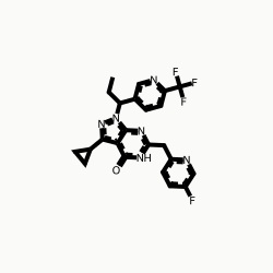 CCC(c1ccc(C(F)(F)F)nc1)n1nc(C2CC2)c2c(=O)[nH]c(Cc3ccc(F)cn3)nc21